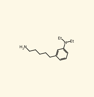 CCN(CC)c1cccc(CCCCCN)c1